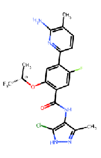 Cc1ccc(-c2cc(O[C@@H](C)C(F)(F)F)c(C(=O)Nc3c(C)n[nH]c3Cl)cc2F)nc1N